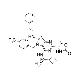 C[C@@H](Nc1nc(-c2noc(=O)[nH]2)nc2nc(NCCc3ccccc3)n(Cc3ccc(C(F)(F)F)cc3)c12)C1CCC1